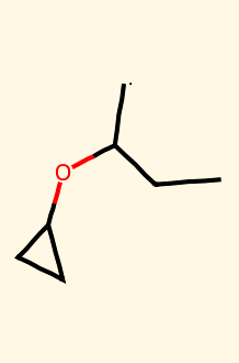 [CH2]C(CC)OC1CC1